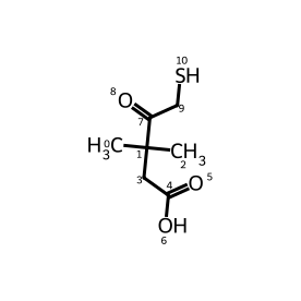 CC(C)(CC(=O)O)C(=O)CS